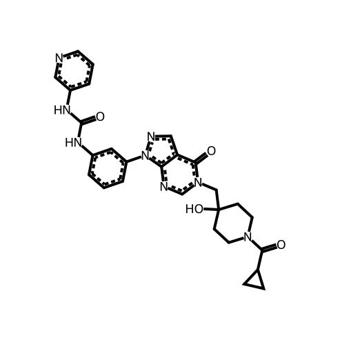 O=C(Nc1cccnc1)Nc1cccc(-n2ncc3c(=O)n(CC4(O)CCN(C(=O)C5CC5)CC4)cnc32)c1